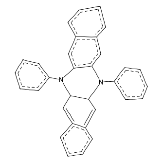 C1=c2ccccc2=CC2C1N(c1ccccc1)c1cc3ccccc3cc1N2c1ccccc1